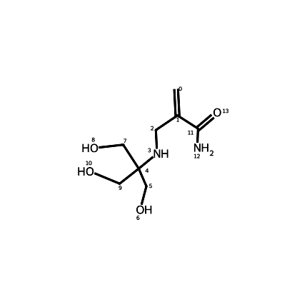 C=C(CNC(CO)(CO)CO)C(N)=O